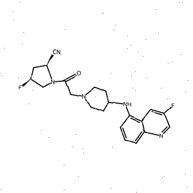 N#C[C@@H]1C[C@H](F)CN1C(=O)CN1CCC(Nc2cccc3ncc(F)cc23)CC1